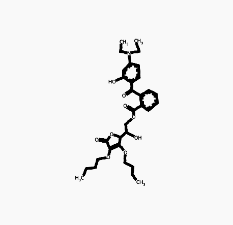 CCCCOC1=C(OCCCC)C(C(O)COC(=O)c2ccccc2C(=O)c2ccc(N(CC)CC)cc2O)OC1=O